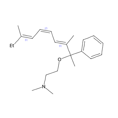 CC/C(C)=C/C=C\C=C(/C)C(C)(OCCN(C)C)c1ccccc1